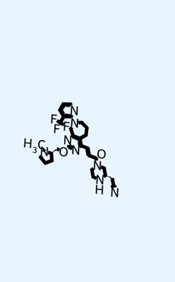 CN1CCC[C@H]1COc1nc(C=CC(=O)N2CCN[C@@H](CC#N)C2)c2c(n1)CN(c1ncccc1C(F)(F)F)CCC2